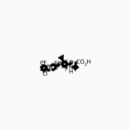 O=C(O)CC1CCC1NC(=O)c1cc(C2CC2)c(OCC2(F)CCN(Cc3cc(C(F)(F)F)ccc3Cl)CC2)cc1F